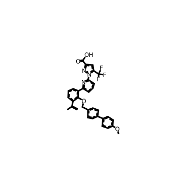 C=C(C)c1cccc(-c2cccc(-n3nc(C(=O)O)cc3C(F)(F)F)n2)c1OCc1ccc(-c2ccc(OC)cc2)cc1